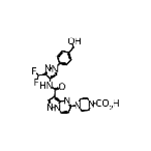 O=C(Nc1cn(-c2ccc(CO)cc2)nc1C(F)F)c1cnn2ccc(N3CCN(C(=O)O)CC3)nc12